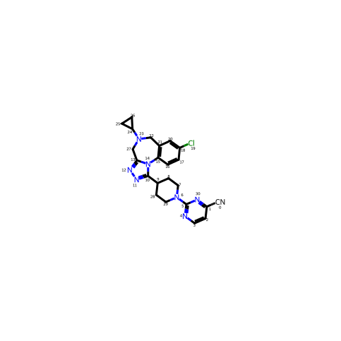 N#Cc1ccnc(N2CCC(c3nnc4n3-c3ccc(Cl)cc3CN(C3CC3)C4)CC2)n1